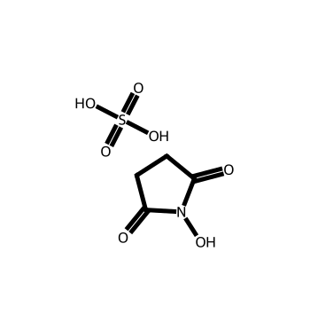 O=C1CCC(=O)N1O.O=S(=O)(O)O